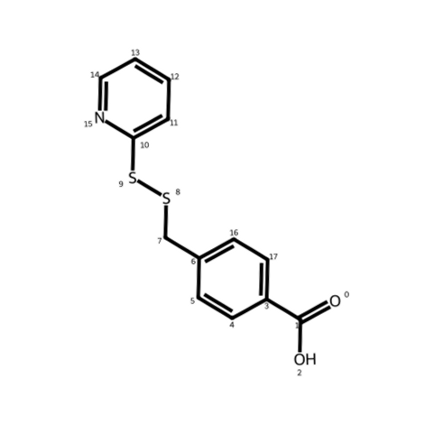 O=C(O)c1ccc(CSSc2ccccn2)cc1